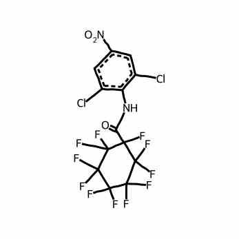 O=C(Nc1c(Cl)cc([N+](=O)[O-])cc1Cl)C1(F)C(F)(F)C(F)(F)C(F)(F)C(F)(F)C1(F)F